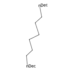 CCCCCCC[CH]CCCCCCCCCCCCCCCCCC